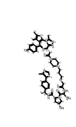 Cc1ncsc1-c1ccc([C@H](C)NC(=O)[C@@H]2C[C@@H](O)CN2C(=O)C(NC(=O)COCCCN2CCN(C(=O)C[C@@H]3N=C(c4ccc(Cl)cc4)c4c(sc(C)c4C)-n4c(C)nnc43)CC2)C(C)(C)C)cc1